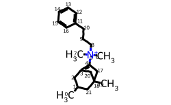 CC1CC2=C([N+](C)(C)CCCc3ccccc3)CC(C)(C2)C1